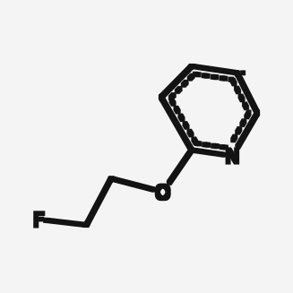 FCCOc1cc[c]cn1